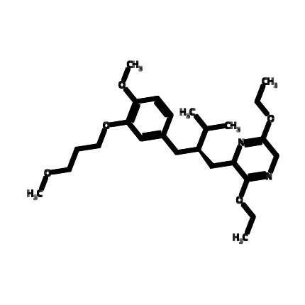 CCOC1=NC(C[C@@H](Cc2ccc(OC)c(OCCCOC)c2)C(C)C)C(OCC)=NC1